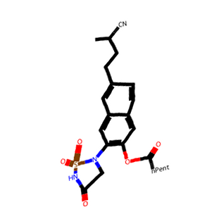 CCCCCC(=O)Oc1cc2ccc(CCC(C)C#N)cc2cc1N1CC(=O)NS1(=O)=O